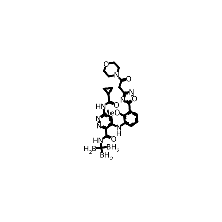 BC(B)(B)NC(=O)c1nnc(NC(=O)C2CC2)cc1Nc1cccc(-c2nc(CC(=O)N3CCOCC3)no2)c1OC